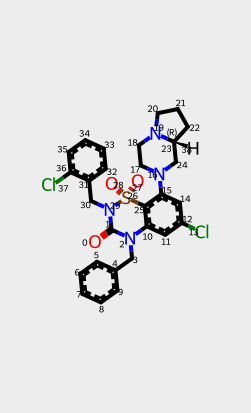 O=C1N(Cc2ccccc2)c2cc(Cl)cc(N3CCN4CCC[C@@H]4C3)c2S(=O)(=O)N1Cc1ccccc1Cl